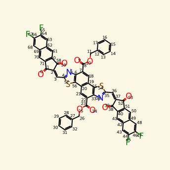 O=C1C(=Cc2nc3c(C(=O)OCc4ccccc4)cc4c(cc(C(=O)OCc5ccccc5)c5nc(C=C6C(=O)c7cc8cc(F)c(F)cc8cc7C6=O)sc54)c3s2)C(=O)c2cc3cc(F)c(F)cc3cc21